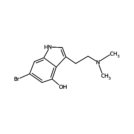 CN(C)CCc1c[nH]c2cc(Br)cc(O)c12